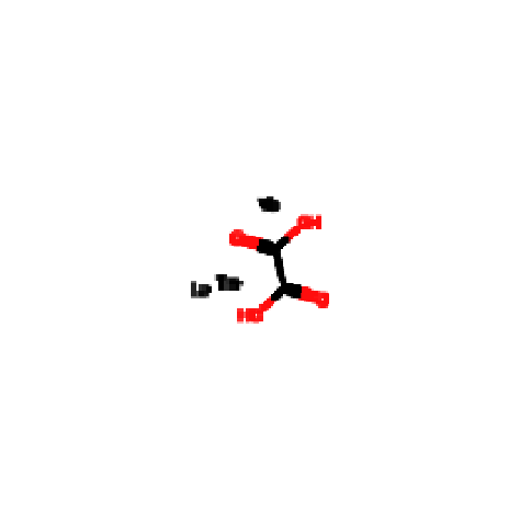 O=C(O)C(=O)O.[Lu].[Tm].[Yb]